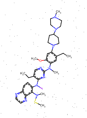 CCc1cc(N(C)c2ncc(CC)c(N(I)c3ccc4nccnc4c3N(C)SC)n2)c(OC)cc1N1CCC(N2CCN(C)CC2)CC1